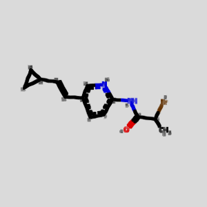 CC(Br)C(=O)Nc1ccc(C=CC2CC2)cn1